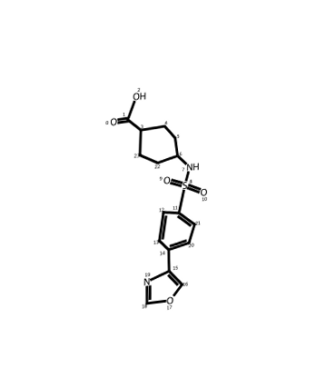 O=C(O)C1CCC(NS(=O)(=O)c2ccc(-c3cocn3)cc2)CC1